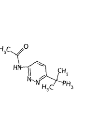 CC(=O)Nc1ccc(C(C)(C)P)nn1